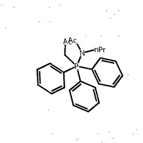 CCCN(C(C)=O)P(CC(C)=O)(c1ccccc1)(c1ccccc1)c1ccccc1